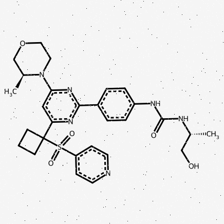 C[C@H](CO)NC(=O)Nc1ccc(-c2nc(N3CCOC[C@@H]3C)cc(C3(S(=O)(=O)c4ccncc4)CCC3)n2)cc1